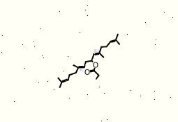 CCC(=O)OC(/C=C(\C)CCC=C(C)C)C/C=C(\C)CCC=C(C)C